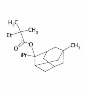 CCC(C)(C)C(=O)OC1(C(C)C)C2CC3CC1CC(C)(C3)C2